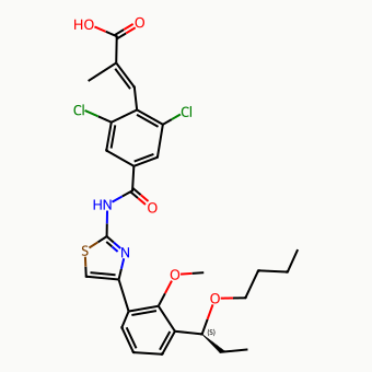 CCCCO[C@@H](CC)c1cccc(-c2csc(NC(=O)c3cc(Cl)c(C=C(C)C(=O)O)c(Cl)c3)n2)c1OC